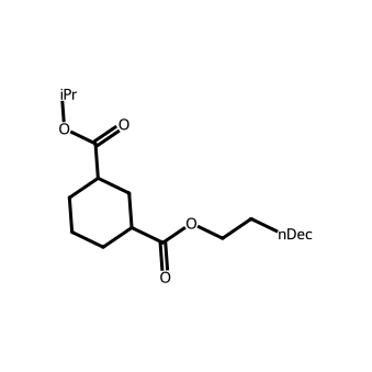 CCCCCCCCCCCCOC(=O)C1CCCC(C(=O)OC(C)C)C1